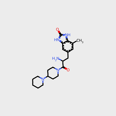 Cc1cc(CC(N)C(=O)N2CCC(N3CCCCC3)CC2)cc2[nH]c(=O)[nH]c12